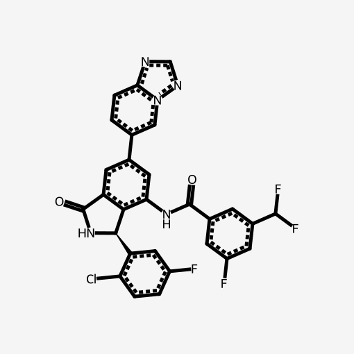 O=C(Nc1cc(-c2ccc3ncnn3c2)cc2c1[C@@H](c1cc(F)ccc1Cl)NC2=O)c1cc(F)cc(C(F)F)c1